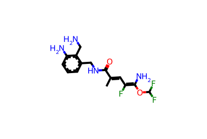 C/C(=C\C(F)=C(/N)OC(F)F)C(=O)NCc1cccc(N)c1CN